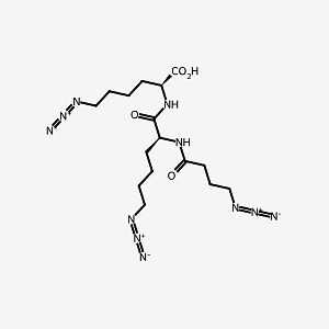 [N-]=[N+]=NCCCC[C@H](NC(=O)[C@H](CCCCN=[N+]=[N-])NC(=O)CCCN=[N+]=[N-])C(=O)O